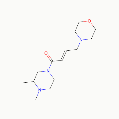 CC1CN(C(=O)/C=C/CN2CCOCC2)CCN1C